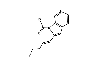 CCCC=Cc1cc2ccncc2n1C(=O)O